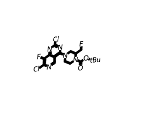 CC(C)(C)OC(=O)N1CCN(c2nc(Cl)nc3c(F)c(Cl)ncc23)CC1CF